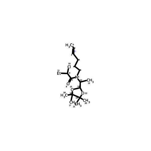 C/C=C/CCCN(C(=O)C(Cl)CC)C(C)C1OC(C)(C)C(C)(C)O1